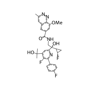 COc1cc(C(=O)NC[C@@](O)(c2cc(C(C)(C)O)c(F)c(-c3ccc(F)cc3)n2)C2C[C@H]2F)cc2cc(C)nnc12